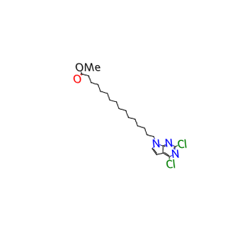 COC(=O)CCCCCCCCCCCCCCCn1ccc2c(Cl)nc(Cl)nc21